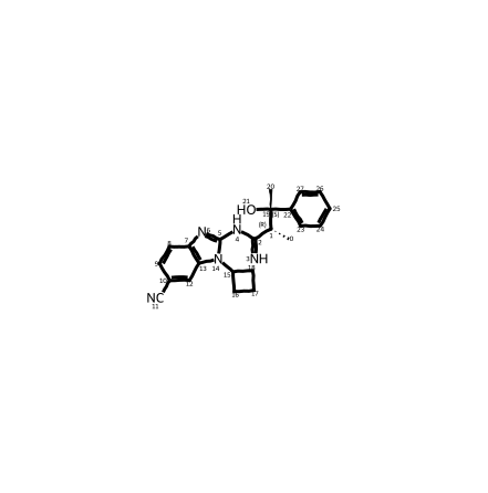 C[C@H](C(=N)Nc1nc2ccc(C#N)cc2n1C1CCC1)[C@](C)(O)c1ccccc1